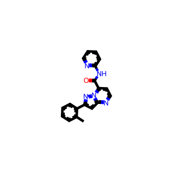 Cc1ccccc1-c1cc2nccc(C(=O)Nc3ccccn3)n2n1